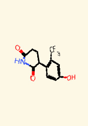 O=C1CCC(c2ccc(O)cc2C(F)(F)F)C(=O)N1